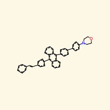 C(=C\c1ccc(-c2c3ccccc3c(-c3ccc(-c4ccc(N5CCOCC5)cc4)cc3)c3ccccc23)cc1)/c1ccccc1